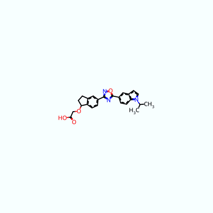 CC(C)n1ccc2cc(-c3nc(-c4ccc5c(c4)CCC5OCC(=O)O)no3)ccc21